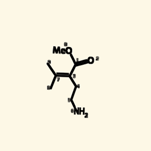 COC(=O)C(CCN)=C(C)C